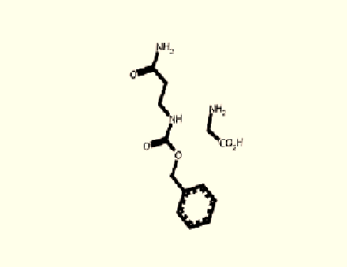 NC(=O)CCNC(=O)OCc1ccccc1.NCC(=O)O